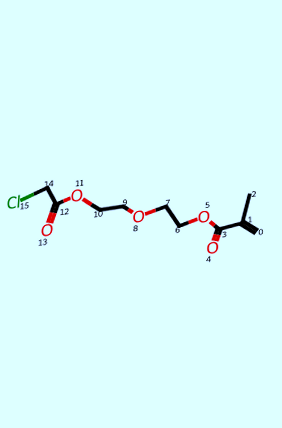 C=C(C)C(=O)OCCOCCOC(=O)CCl